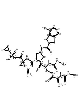 C=C[C@@H]1C[C@]1(NC(=O)[C@@H]1C[C@@H](OC(=O)N2Cc3cccc(F)c3C2)CN1C(=O)[C@H](COC(=O)C(=C)NC(=O)OC(C)(C)C)NC(=O)OC(C)(C)C)C(=O)NS(=O)(=O)C1CC1